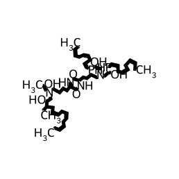 CC/C=C\C/C=C\C/C=C\CC(CC)C(O)CN(CCCCC1NC(=O)C(CCCCN(CC(O)P/C=C\C/C=C\C/C=C\CC)CC(O)P/C=C\C/C=C\C/C=C\CC)NC1=O)CC(C)O